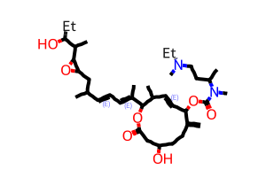 C=C1CCC(O)CC(=O)OC(/C(C)=C/C=C/C(C)CC2OC2C(C)C(O)CC)C(C)/C=C/C1OC(=O)N(C)C(C)CCN(C)CC